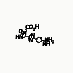 N=C(N)c1ccc(-c2ncc(C3CNC(=O)N3CCC(=O)O)cn2)cc1